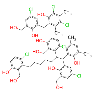 Cc1c(Cl)c(C)c(Cc2cc(Cl)cc(CO)c2O)c(O)c1Cl.Cc1cc(C)c(O)c(C(c2cc(Cl)cc(CO)c2O)C(CCCCCc2c(Cl)ccc(O)c2CO)c2c(Cl)ccc(O)c2CO)c1